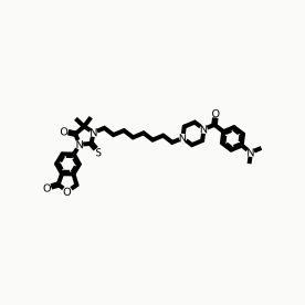 CN(C)c1ccc(C(=O)N2CCN(CCCCCCCCN3C(=S)N(c4ccc5c(c4)COC5=O)C(=O)C3(C)C)CC2)cc1